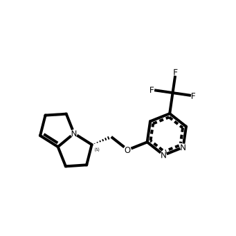 FC(F)(F)c1cnnc(OC[C@@H]2CCC3=CCCN32)c1